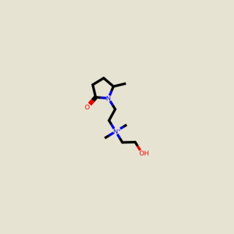 CC1CCC(=O)N1CC[N+](C)(C)CCO